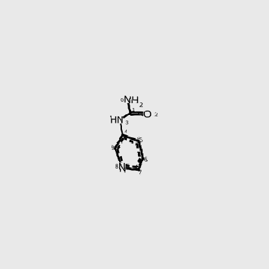 NC(=O)Nc1[c]ccnc1